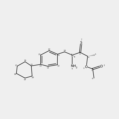 CC(=O)O[C@@H](C)C(=S)N(N)Cc1ccc(C2CCCCC2)cc1